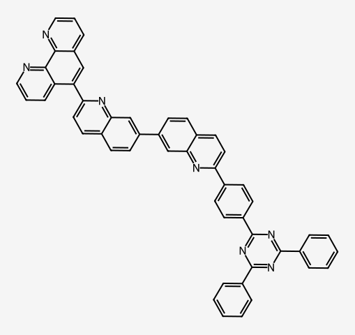 c1ccc(-c2nc(-c3ccccc3)nc(-c3ccc(-c4ccc5ccc(-c6ccc7ccc(-c8cc9cccnc9c9ncccc89)nc7c6)cc5n4)cc3)n2)cc1